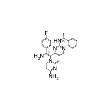 C=C1N=C(N)C=CN1/C(=C(\N)c1ccc(F)cc1)c1ccnc(N[C@@H](C)c2ccccc2)n1